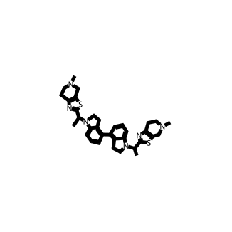 CC(c1nc2c(s1)CN(C)CC2)N1CCc2c(-c3cccc4c3CCN4C(C)c3nc4c(s3)CN(C)CC4)cccc21